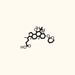 [2H]C([2H])(C)C1C(=O)C2C3CC[C@H]([C@H](C)CCC(=O)O)[C@@]3(C)CCC2[C@@]2(C)CC[C@@H](OC3CCCCO3)C[C@@H]12